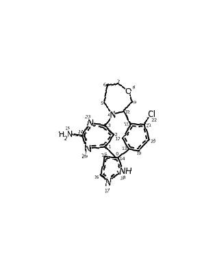 Cc1cc(N2CCCOCC2c2cc(-c3ccn[nH]3)ccc2Cl)nc(N)n1